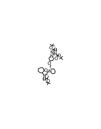 CC(C)(C)OC(=O)C[C@H](NC1CCCCCC1)C(=O)N1CCCC[C@H]1CCOC1CCN(C(=NC(=O)OC(C)(C)C)NC(=O)OC(C)(C)C)CC1